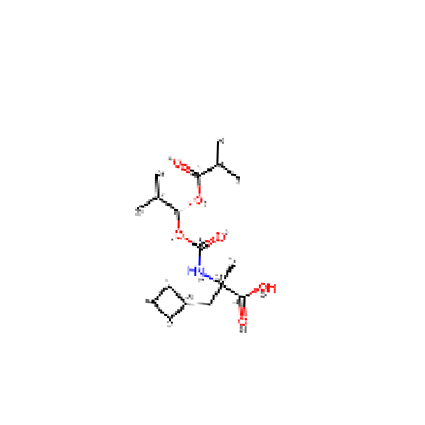 CC(C)C(=O)O[C@H](OC(=O)N[C@@](C)(CC1CCC1)C(=O)O)C(C)C